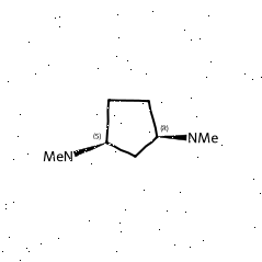 CN[C@@H]1CC[C@H](NC)C1